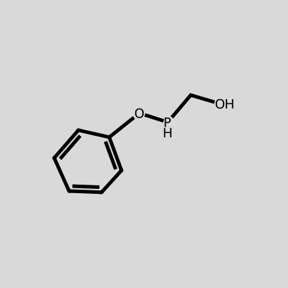 OCPOc1ccccc1